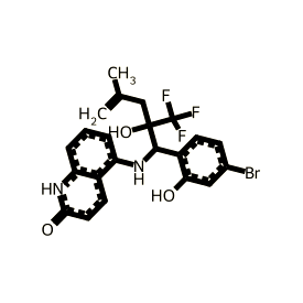 C=C(C)CC(O)(C(Nc1cccc2[nH]c(=O)ccc12)c1ccc(Br)cc1O)C(F)(F)F